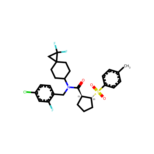 Cc1ccc(S(=O)(=O)[C@@H]2CCC[C@H]2C(=O)N(Cc2ccc(Cl)cc2F)C2CCC3(CC2)CC3(F)F)cc1